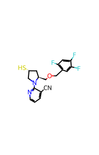 N#Cc1cccnc1N1C[C@H](S)C[C@H]1COCc1cc(F)c(F)cc1F